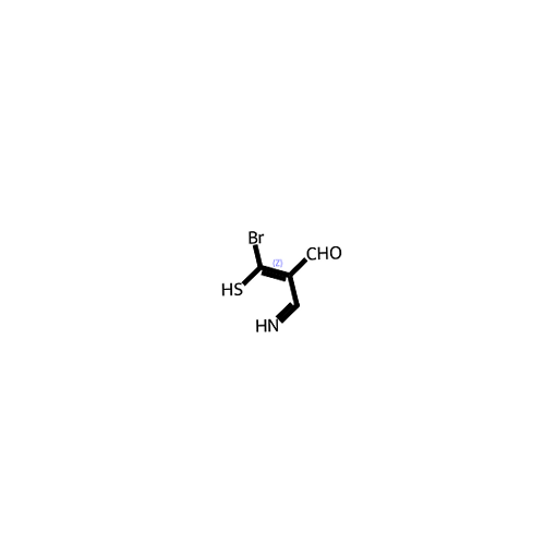 N=C/C(C=O)=C(\S)Br